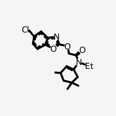 CCN(C(=O)COc1nc2cc(Cl)ccc2o1)C1=CC(C)CC(C)(C)C1